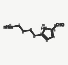 CCCCCCCCCCc1ccc(C=O)[nH]1